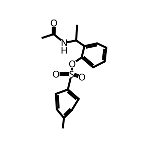 CC(=O)NC(C)c1ccccc1OS(=O)(=O)c1ccc(C)cc1